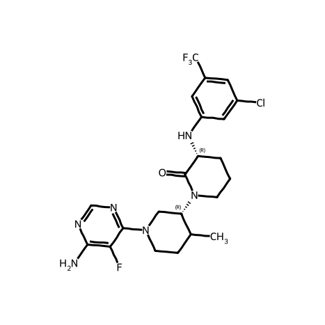 CC1CCN(c2ncnc(N)c2F)C[C@@H]1N1CCC[C@@H](Nc2cc(Cl)cc(C(F)(F)F)c2)C1=O